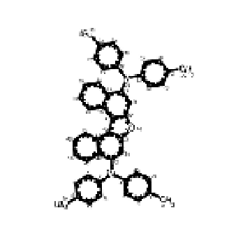 Cc1ccc(N(c2ccc(C(C)(C)C)cc2)c2cc3oc4cc(N(c5ccc(C)cc5)c5ccc(C(C)(C)C)cc5)c5ccccc5c4c3c3ccccc23)cc1